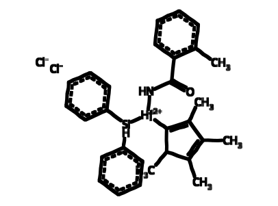 CC1=C(C)C(C)[C]([Hf+2]([NH]C(=O)c2ccccc2C)[SiH](c2ccccc2)c2ccccc2)=C1C.[Cl-].[Cl-]